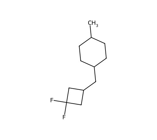 CC1CCC(CC2CC(F)(F)C2)CC1